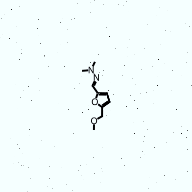 COCc1ccc(/C=N/N(C)C)o1